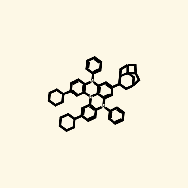 c1ccc(N2c3ccc(C4CCCCC4)cc3B3c4cc(C5CCCCC5)ccc4N(c4ccccc4)c4cc(C56CC7CC8CC(C5)C8(C7)C6)cc2c43)cc1